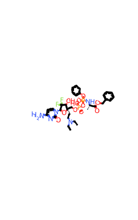 CCN(CC)CC[C@]1(COP(=O)(O)OP(=O)(N[C@@H](C)C(=O)OCc2ccccc2)Oc2ccccc2)O[C@@H](n2ccc(N)nc2=O)C(F)(F)C1O